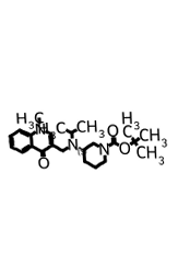 CC(C)N(Cc1cn(C)c2ccccc2c1=O)[C@H]1CCCN(C(=O)OC(C)(C)C)C1